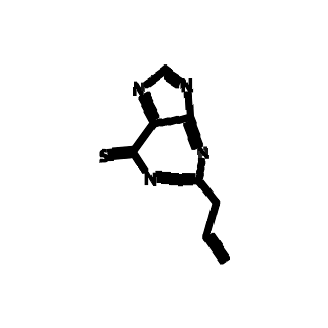 C=CCC1=NC(=S)C2=N[C]=NC2=N1